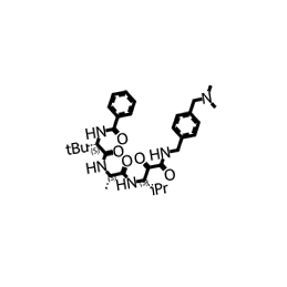 CC(C)[C@H](NC(=O)[C@H](C)NC(=O)[C@@H](NC(=O)c1ccccc1)C(C)(C)C)C(=O)C(=O)NCc1ccc(CN(C)C)cc1